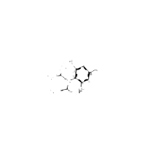 CC(C#N)N(c1c([N+](=O)[O-])cc(C(F)(F)F)cc1[N+](=O)[O-])C(C)C#N